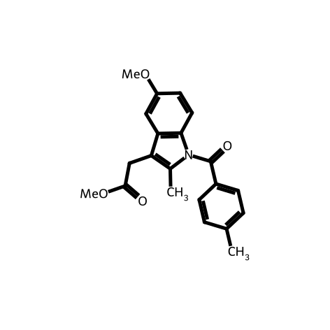 COC(=O)Cc1c(C)n(C(=O)c2ccc(C)cc2)c2ccc(OC)cc12